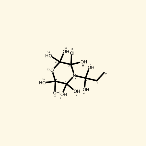 CCC(O)(O)N1C(O)(O)C(O)(O)OC(O)(O)C1(O)O